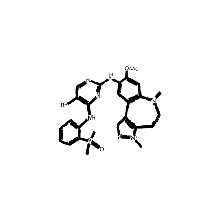 COc1cc2c(cc1Nc1ncc(Br)c(Nc3ccccc3P(C)(C)=O)n1)C1=C(CCN2C)[N+](C)=NC1